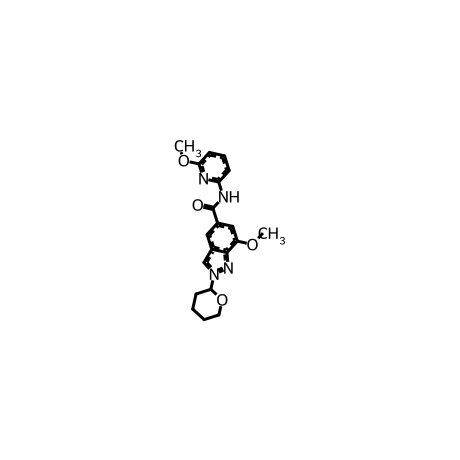 COc1cccc(NC(=O)c2cc(OC)c3nn(C4CCCCO4)cc3c2)n1